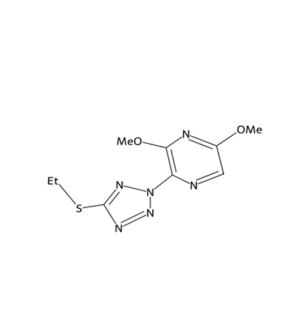 CCSc1nnn(-c2ncc(OC)nc2OC)n1